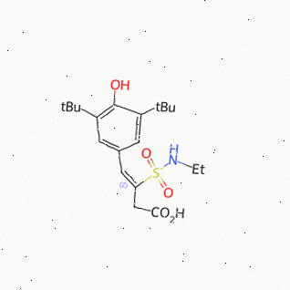 CCNS(=O)(=O)/C(=C\c1cc(C(C)(C)C)c(O)c(C(C)(C)C)c1)CC(=O)O